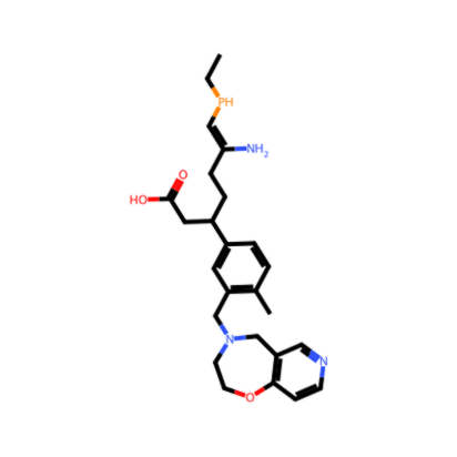 CCP/C=C(\N)CCC(CC(=O)O)c1ccc(C)c(CN2CCOc3ccncc3C2)c1